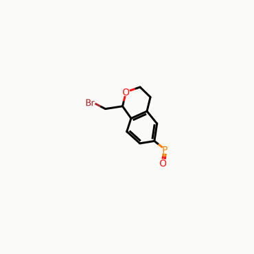 O=Pc1ccc2c(c1)CCOC2CBr